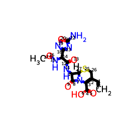 C=CC1=C(C(=O)O)N2C(=O)C(NC(=O)C(NOC)c3noc(N)n3)[C@@H]2SC1